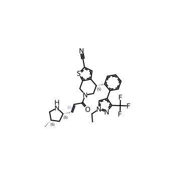 CCn1cc(-c2ccccc2[C@@H]2CN(C(=O)/C=C/[C@@H]3C[C@H](C)CN3)Cc3sc(C#N)cc32)c(C(F)(F)F)n1